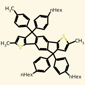 CCCCCCc1ccc(C2(c3ccc(C)cc3)c3cc4c(cc3-c3sc(C)cc32)C(c2ccc(CCCCCC)cc2)(c2ccc(CCCCCC)cc2)c2cc(C)sc2-4)cc1